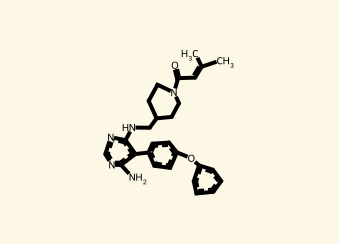 CC(C)=CC(=O)N1CCC(CNc2ncnc(N)c2-c2ccc(Oc3ccccc3)cc2)CC1